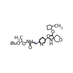 CC(C)COC(C)ONC(=O)/C=C/c1ccc(CNC2(C(=O)OC3CCCC3C)CCOCC2)cn1